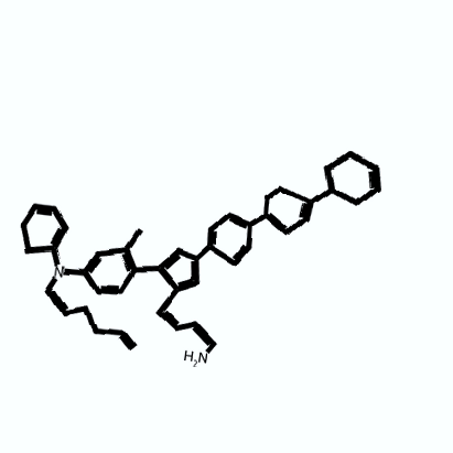 C=CCC/C=C\N(C1=CC=CCC1)c1ccc(C2=CC(c3ccc(C4=CC=C(C5CC=CCC5)CC4)cc3)=C=C2/C=C\C=C/N)c(C)c1